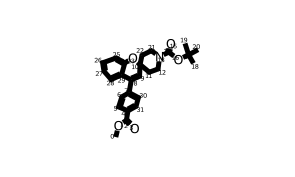 COC(=O)c1ccc(C2=CC3(CCN(C(=O)OC(C)(C)C)CC3)Oc3ccccc32)cc1